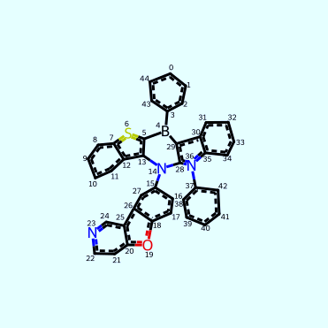 c1ccc(B2c3sc4ccccc4c3N(c3ccc4oc5ccncc5c4c3)c3c2c2ccccc2n3-c2ccccc2)cc1